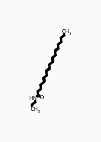 CCCCCC=CCC=CCC=CCC=CCCCC(=O)NCCC